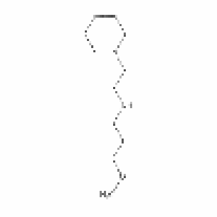 COCCCNCCN1CCCCC1